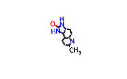 Cc1ccc2c(ccc3[nH]c(=O)[nH]c32)n1